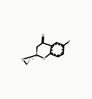 O=C1C[C@H]([C@@H]2CO2)Oc2ccc(F)cc21